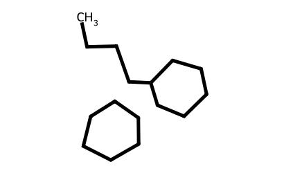 C1CCCCC1.CCCCC1CCCCC1